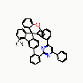 N#Cc1cccc2c1-c1cc(-c3ccccc3-c3nc(-c4ccccc4)cc(-c4ccccc4)n3)ccc1C21c2ccccc2Oc2ccccc21